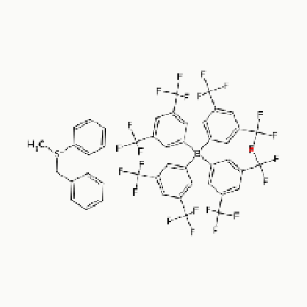 C[S+](Cc1ccccc1)c1ccccc1.FC(F)(F)c1cc([B-](c2cc(C(F)(F)F)cc(C(F)(F)F)c2)(c2cc(C(F)(F)F)cc(C(F)(F)F)c2)c2cc(C(F)(F)F)cc(C(F)(F)F)c2)cc(C(F)(F)F)c1